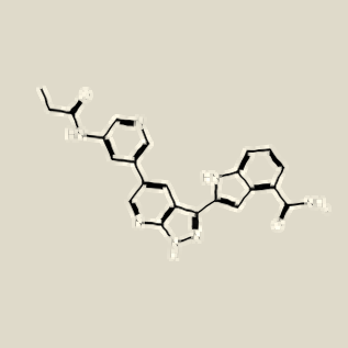 CCC(=O)Nc1cncc(-c2cnc3[nH]nc(-c4cc5c(C(N)=O)cccc5[nH]4)c3c2)c1